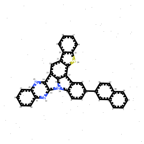 c1ccc2cc(-c3ccc4c(c3)c3c5sc6ccccc6c5cc5c6nc7ccccc7nc6n4c53)ccc2c1